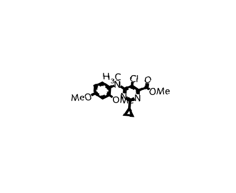 COC(=O)c1nc(C2CC2)nc(N(C)c2ccc(OC)cc2OC)c1Cl